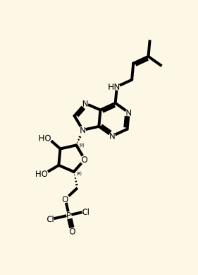 CC(C)=CCNc1ncnc2c1ncn2[C@@H]1O[C@H](COP(=O)(Cl)Cl)C(O)C1O